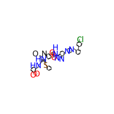 O=[N+]([O-])c1cc(S(=O)(=O)Nc2ncnc3cc(N4CCN(Cc5ccccc5-c5ccc(Cl)cc5)CC4)ccc23)ccc1N[C@H](CCNCc1cccc2c1OCO2)CSc1ccccc1